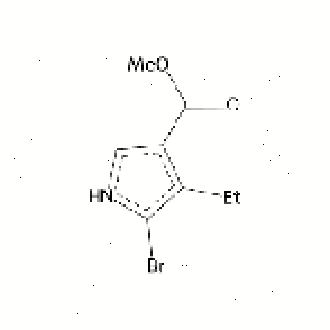 CCc1c(C(=O)OC)c[nH]c1Br